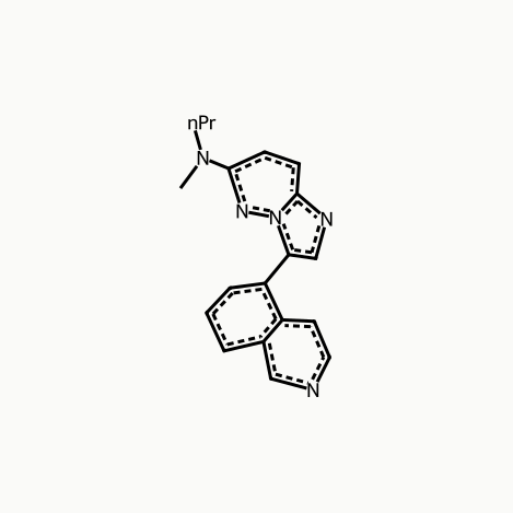 CCCN(C)c1ccc2ncc(-c3cccc4cnccc34)n2n1